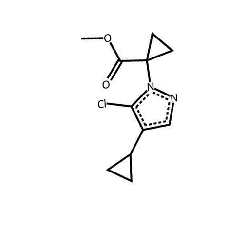 COC(=O)C1(n2ncc(C3CC3)c2Cl)CC1